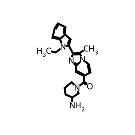 CCn1c(-c2nc3cc(C(=O)N4CCCC(N)C4)ccn3c2C)cc2ccccc21